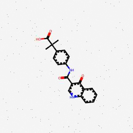 CC(C)(C(=O)O)c1ccc(NC(=O)c2c[nH]c3ccccc3c2=O)cc1